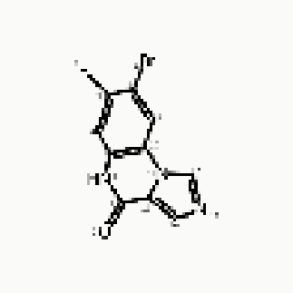 O=c1[nH]c2cc(F)c(Br)cc2n2cncc12